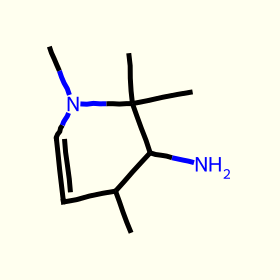 CC1C=CN(C)C(C)(C)C1N